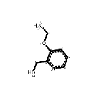 CCOc1c[c]cnc1CO